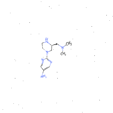 CN(C)C[C@H]1CN(c2ncc(N)cn2)CCN1